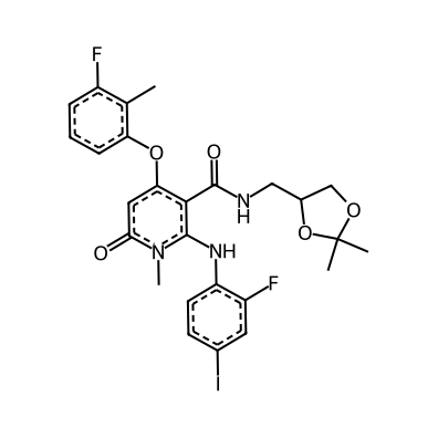 Cc1c(F)cccc1Oc1cc(=O)n(C)c(Nc2ccc(I)cc2F)c1C(=O)NCC1COC(C)(C)O1